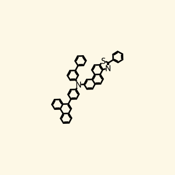 c1ccc(-c2cccc(N(c3ccc(-c4cc5ccccc5c5ccccc45)cc3)c3ccc4ccc5c(ccc6sc(-c7ccccc7)nc65)c4c3)c2)cc1